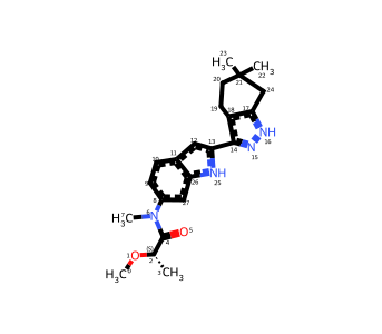 CO[C@@H](C)C(=O)N(C)c1ccc2cc(-c3n[nH]c4c3CCC(C)(C)C4)[nH]c2c1